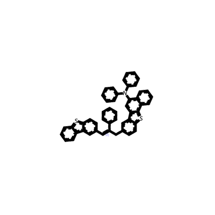 C(=C(\Cc1ccc2sc3c4ccccc4c(N(c4ccccc4)c4ccccc4)cc3c2c1)c1ccccc1)/c1ccc2sc3ccccc3c2c1